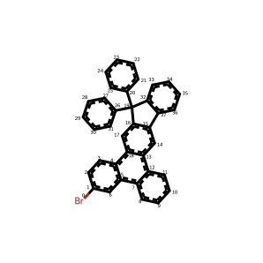 Brc1ccc2c(c1)c1ccccc1c1cc3c(cc21)C(c1ccccc1)(c1ccccc1)c1ccccc1-3